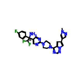 Cn1cc(-c2cc3c(N4CCN(c5ncc([C@@](N)(c6ccc(F)cc6)C(F)F)cn5)CC4)ncnn3c2)cn1